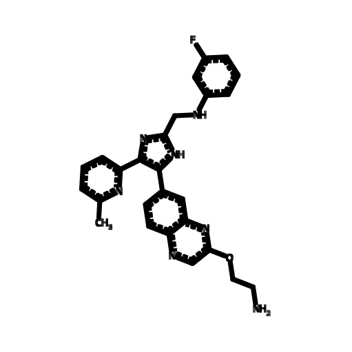 Cc1cccc(-c2nc(CNc3cccc(F)c3)[nH]c2-c2ccc3ncc(OCCN)nc3c2)n1